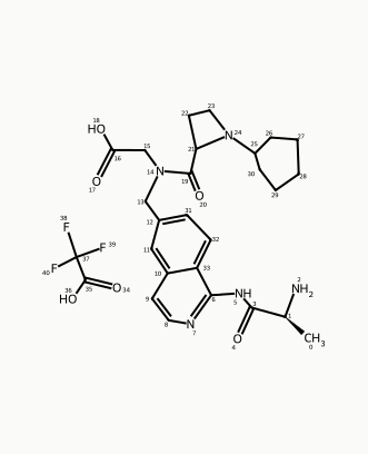 C[C@H](N)C(=O)Nc1nccc2cc(CN(CC(=O)O)C(=O)C3CCN3C3CCCCC3)ccc12.O=C(O)C(F)(F)F